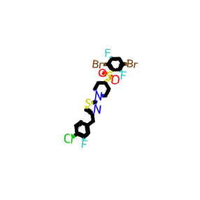 O=S(=O)(c1c(F)c(Br)cc(F)c1Br)C1CCN(c2nc(Cc3ccc(Cl)c(F)c3)cs2)CC1